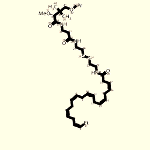 CC/C=C\C/C=C\C/C=C\C/C=C\C/C=C\C/C=C\CC(=O)NCCSSCCNC(=O)CCNC(=O)[C@H](OC)C(C)(C)COC(C)C